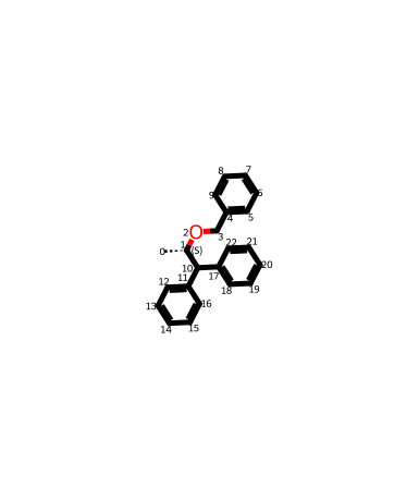 C[C@H](OCc1ccccc1)C(c1ccccc1)c1ccccc1